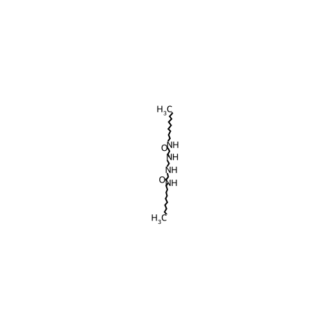 CCCCCCCCCCCNC(=O)CCNCCCNCCC(=O)NCCCCCCCCCCC